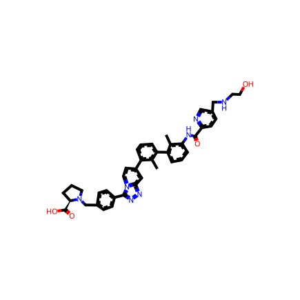 Cc1c(NC(=O)c2ccc(CNCCO)cn2)cccc1-c1cccc(-c2ccn3c(-c4ccc(CN5CCC[C@@H]5C(=O)O)cc4)nnc3c2)c1C